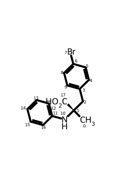 C[C@@](Cc1ccc(Br)cc1)(Nc1ccccc1)C(=O)O